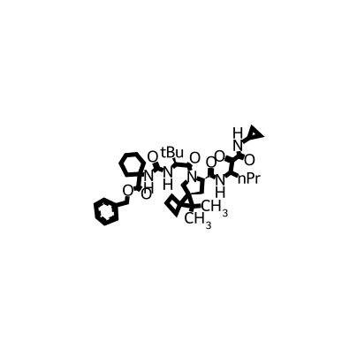 CCCC(NC(=O)[C@@H]1C[C@@]2(CN1C(=O)[C@@H](NC(=O)NC1(C(=O)OCc3ccccc3)CCCCC1)C(C)(C)C)C(C)(C)C21CCC1)C(=O)C(=O)NC1CC1